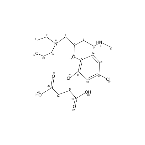 CNCCC(CN1CCOCC1)Oc1ccc(Cl)cc1Cl.O=C(O)CCC(=O)O